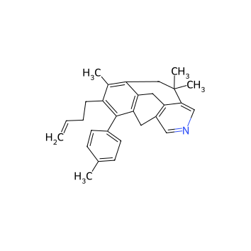 C=CCCc1c(C)c2c3c(c1-c1ccc(C)cc1)Cc1cncc(c1C3)C(C)(C)C2